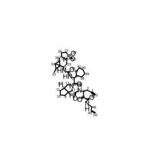 C#CCC(NC(=O)[C@@H]1[C@H]2CCC[C@H]2CN1C(=O)[C@@H](NC(=O)N[C@H](CN1CCCS1(=O)=O)C12C(C)C1C2C)C1CCCCC1)C(=O)C(=O)NCC=C